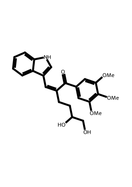 COc1cc(C(=O)C(=Cc2c[nH]c3ccccc23)CCC(O)CO)cc(OC)c1OC